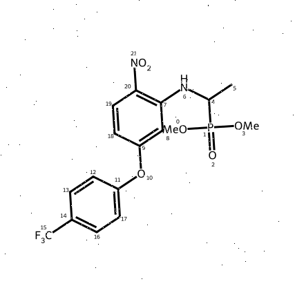 COP(=O)(OC)C(C)Nc1cc(Oc2ccc(C(F)(F)F)cc2)ccc1[N+](=O)[O-]